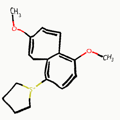 COc1ccc2c(OC)ccc([S+]3CCCC3)c2c1